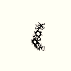 CC(C)(C)[Si](C)(C)O[C@H]1CC[C@@H](Oc2c(Br)ccc3cnc(Cl)nc23)CC1